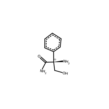 NC(=O)[C@@](N)(CO)c1ccccc1